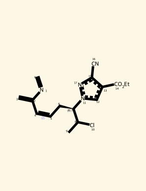 C=NC(=C)/C=C\C[C@H](C(C)Cl)n1cc(C(=O)OCC)c(C#N)n1